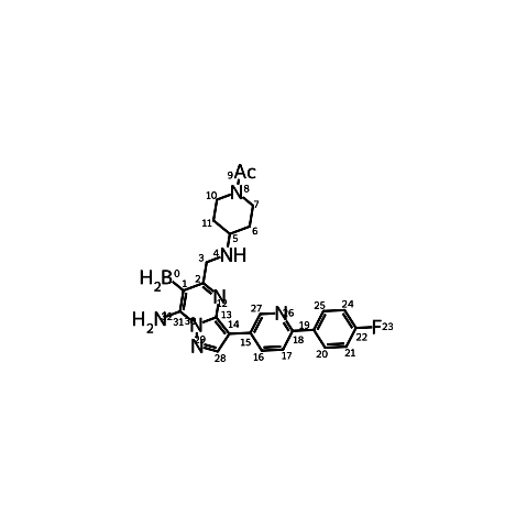 Bc1c(CNC2CCN(C(C)=O)CC2)nc2c(-c3ccc(-c4ccc(F)cc4)nc3)cnn2c1N